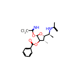 C=C(C)N[C@@H](C)[C@H]1O[C@@H](OC(=N)C(Cl)(Cl)Cl)C(OC(=O)c2ccccc2)[C@H]1C